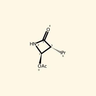 CC(=O)O[C@H]1NC(=O)[C@@H]1C(C)C